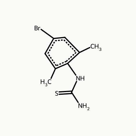 Cc1cc(Br)cc(C)c1NC(N)=S